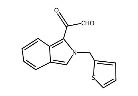 O=CC(=O)c1c2ccccc2cn1Cc1cccs1